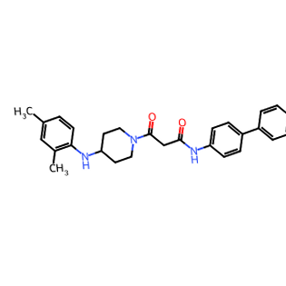 Cc1ccc(NC2CCN(C(=O)CC(=O)Nc3ccc(-c4ccccc4)cc3)CC2)c(C)c1